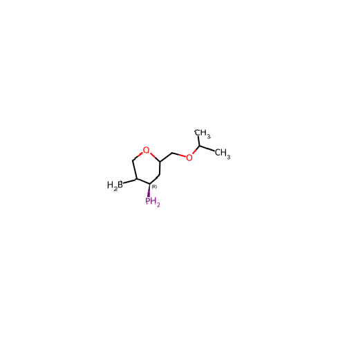 BC1COC(COC(C)C)C[C@H]1P